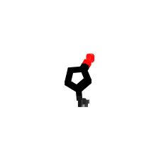 CC(C)C1=CC(=O)CC1